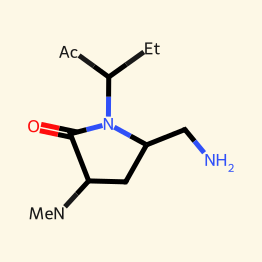 CCC(C(C)=O)N1C(=O)C(NC)CC1CN